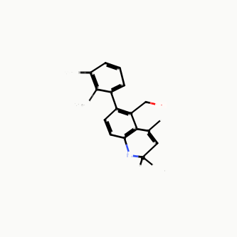 COc1cccc(-c2ccc3c(c2CO)C(C)=CC(C)(C)N3)c1OC